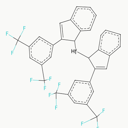 FC(F)(F)c1cc(C2=Cc3ccccc3[CH]2[Hf][CH]2C(c3cc(C(F)(F)F)cc(C(F)(F)F)c3)=Cc3ccccc32)cc(C(F)(F)F)c1